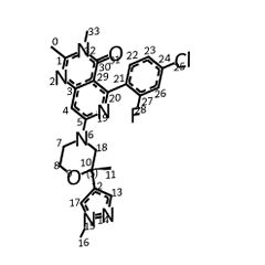 Cc1nc2cc(N3CCO[C@@](C)(c4cnn(C)c4)C3)nc(-c3ccc(Cl)cc3F)c2c(=O)n1C